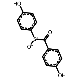 O=C(c1ccc(O)cc1)[S+]([O-])c1ccc(O)cc1